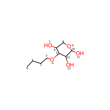 CCCCOC1C(O)COC(O)C1O